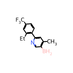 Bc1cnc(-c2ccc(C(F)(F)F)cc2CC)cc1C